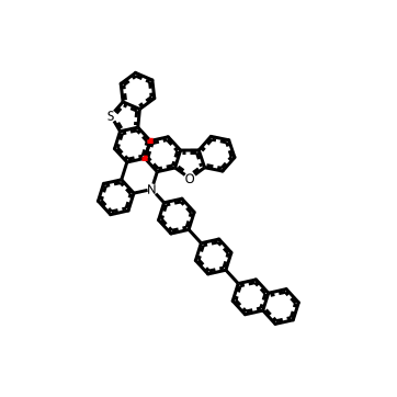 c1ccc(N(c2ccc(-c3ccc(-c4ccc5ccccc5c4)cc3)cc2)c2cccc3c2oc2ccccc23)c(-c2ccc3c(c2)sc2ccccc23)c1